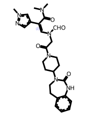 CN(C)C(=O)/C(=C\N(C=O)CC(=O)N1CCC(N2CCc3ccccc3NC2=O)CC1)c1cnn(C)c1